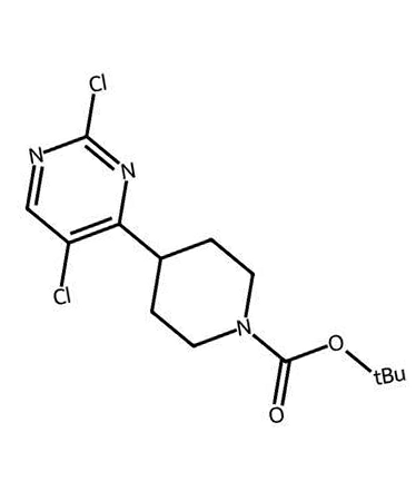 CC(C)(C)OC(=O)N1CCC(c2nc(Cl)ncc2Cl)CC1